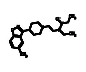 CCN(CCN1CCC(c2noc3ccc(C)cc23)CC1)[S+]([O-])CC